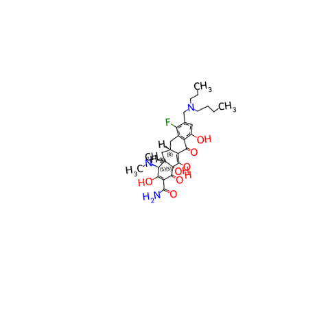 CCCCN(CCC)Cc1cc(O)c2c(c1F)C[C@H]1C[C@H]3[C@H](N(C)C)C(O)=C(C(N)=O)C(=O)[C@@]3(O)C(O)=C1C2=O